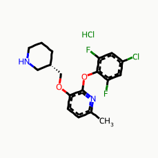 Cc1ccc(OC[C@H]2CCCNC2)c(Oc2c(F)cc(Cl)cc2F)n1.Cl